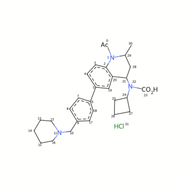 CC(=O)N1c2ccc(-c3ccc(CN4CCCCC4)cc3)cc2C(N(C(=O)O)C2CCC2)CC1C.Cl